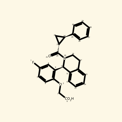 O=C(O)COc1ccc(F)cc1[C@@H]1c2ccccc2CCN1C(=O)[C@@H]1C[C@H]1c1ccccc1